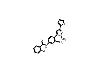 Cn1nc(-c2ccco2)cc1-c1ccc(NC(=O)c2ccccc2F)nc1N